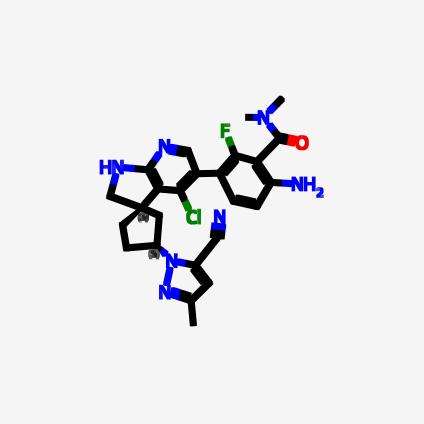 Cc1cc(C#N)n([C@H]2CC[C@]3(CNc4ncc(-c5ccc(N)c(C(=O)N(C)C)c5F)c(Cl)c43)C2)n1